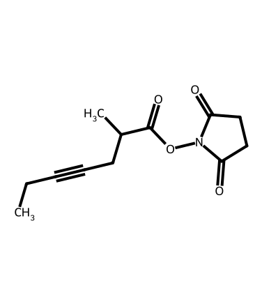 CCC#CCC(C)C(=O)ON1C(=O)CCC1=O